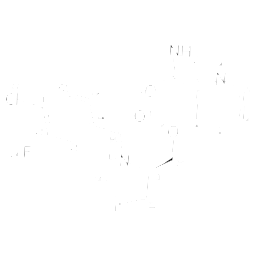 NC(=O)c1ncccc1OC[C@H]1CCCN1C(=O)c1ccc(Cl)c(F)c1